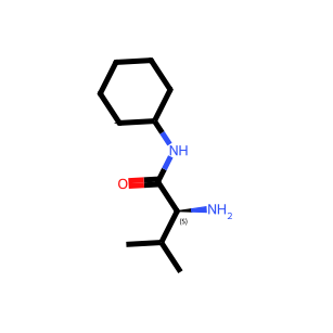 CC(C)[C@H](N)C(=O)NC1[CH]CCCC1